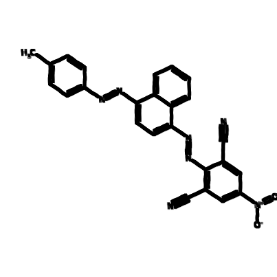 Cc1ccc(N=Nc2ccc(N=Nc3c(C#N)cc([N+](=O)[O-])cc3C#N)c3ccccc23)cc1